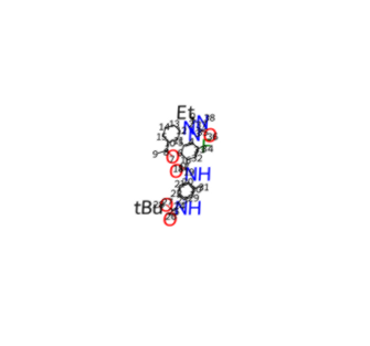 CCc1nn(C2=CC(OC(C)C3CCCCC3)C(C(=O)Nc3ccc(NC(=O)OC(C)(C)C)cc3C)C=C2F)c(=O)n1C